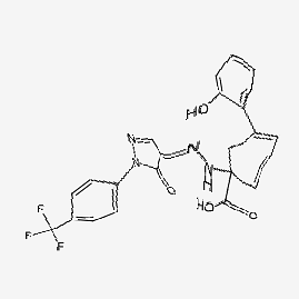 O=C1/C(=N\NC2(C(=O)O)C=CC=C(c3ccccc3O)C2)C=NN1c1ccc(C(F)(F)F)cc1